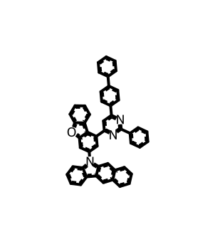 c1ccc(-c2ccc(-c3cc(-c4cc(-n5c6ccccc6c6cc7ccccc7cc65)cc5oc6ccccc6c45)nc(-c4ccccc4)n3)cc2)cc1